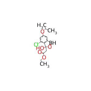 CCOC(=O)CC1(O)OBc2cc(OC(C)C)cc(Cl)c21